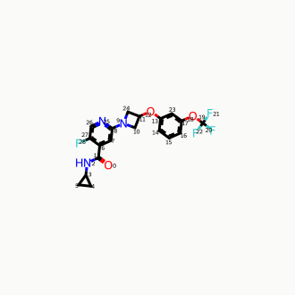 O=C(NC1CC1)c1cc(N2CC(Oc3cccc(OC(F)(F)F)c3)C2)ncc1F